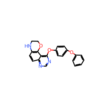 c1ccc(Oc2ccc(Oc3ncnc4ccc5c(c34)OCCN5)cc2)cc1